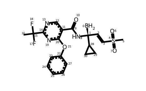 B[C@](/C=C/S(C)(=O)=O)(NC(=O)c1cnc(C(C)(F)F)nc1Oc1ccccc1)C1CC1